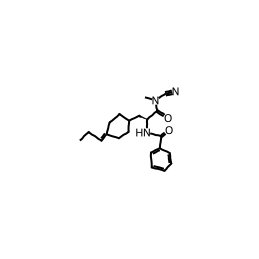 CCC=C1CCC(C[C@H](NC(=O)c2ccccc2)C(=O)N(C)C#N)CC1